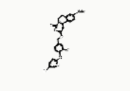 COc1ccc2c(c1)CCn1c-2cc(OCc2ccc(Oc3ccc(Cl)cn3)c(F)c2)nc1=O